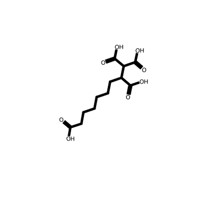 O=C(O)CCCCCCC(C(=O)O)C(C(=O)O)C(=O)O